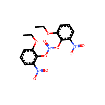 CCOc1cccc([N+](=O)[O-])c1O[N+](=O)Oc1c(OCC)cccc1[N+](=O)[O-]